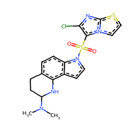 CN(C)C1CCc2ccc3c(ccn3S(=O)(=O)c3c(Cl)nc4sccn34)c2N1